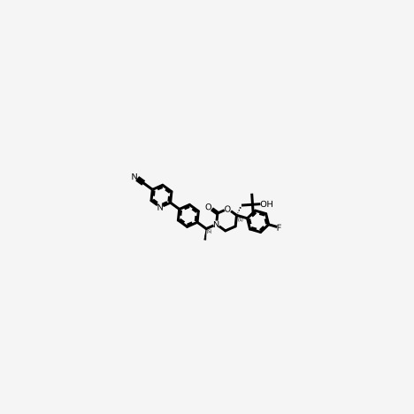 C[C@@H](c1ccc(-c2ccc(C#N)cn2)cc1)N1CC[C@](CC(C)(C)O)(c2ccc(F)cc2)OC1=O